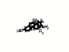 C[C@]12CC[C@H]3[C@@H]([C@@H](O)CC4C=C(O)C=C[C@@]43C)[C@@H]1C[C@@H](F)[C@H]2N